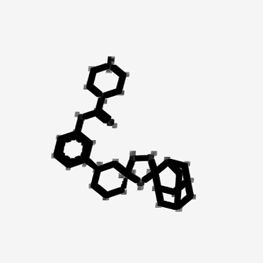 O=C(Oc1cccc([C@@H]2CCC[C@]3(C2)OOC2(O3)C3CC4CC(C3)CC2C4)c1)N1CCNCC1